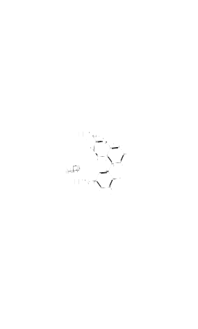 Cc1c(Cl)cc(N)cc1-c1cccc2nc(N)ncc12.[Cl-].[Cl-].[Sn+2]